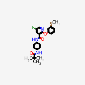 CSc1cccc(Oc2ncc(F)cc2C(=O)N[C@H]2CC[C@@H](NC(=O)C(C)(C)C)CC2)c1